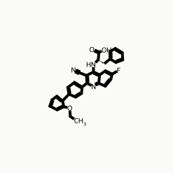 CCOc1ccccc1-c1ccc(-c2nc3ccc(F)cc3c(N[C@@H](Cc3ccccc3)C(=O)O)c2C#N)cc1